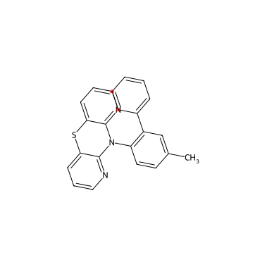 Cc1ccc(N2c3ncccc3Sc3cccnc32)c(-c2ccccc2)c1